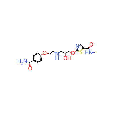 CNC(=O)c1cnc(OCC(O)CNCCOc2ccc(C(N)=O)cc2)s1